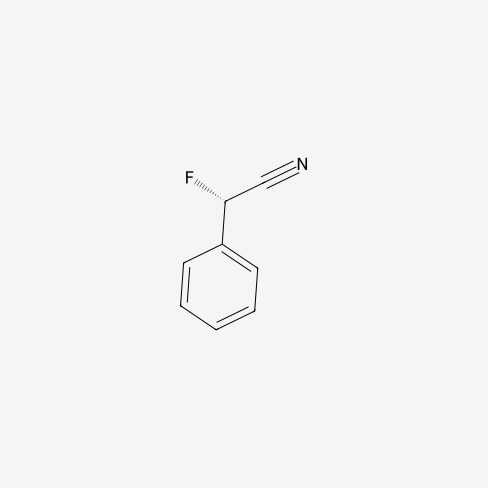 N#C[C@@H](F)c1ccccc1